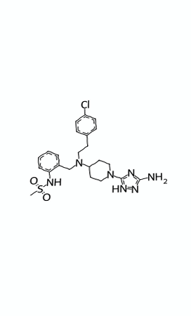 CS(=O)(=O)Nc1ccccc1CN(CCc1ccc(Cl)cc1)C1CCN(c2nc(N)n[nH]2)CC1